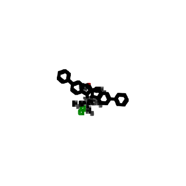 CC1=Cc2cc(-c3ccccc3)ccc2[CH]1[Ti+2]([CH3])([CH3])(=[SiH2])[CH]1C(C)=Cc2cc(-c3ccccc3)ccc21.[Cl-].[Cl-]